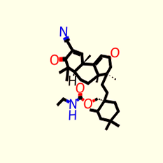 CCNC(=O)OC[C@]1(CC[C@]2(C)CC(=O)C=C3[C@@]4(C)C=C(C#N)C(=O)C(C)(C)[C@@H]4CC[C@]32C)CCC(C)(C)CC1C